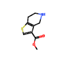 COC(=O)c1csc2c1CNCC2